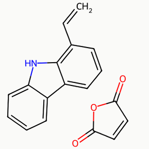 C=Cc1cccc2c1[nH]c1ccccc12.O=C1C=CC(=O)O1